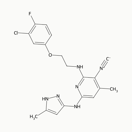 [C-]#[N+]c1c(C)cc(Nc2cc(C)[nH]n2)nc1NCCOc1ccc(F)c(Cl)c1